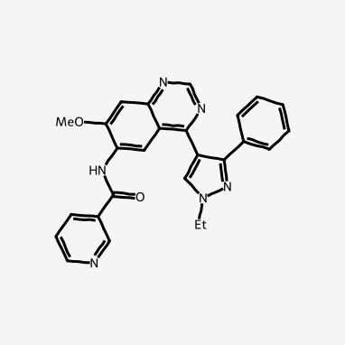 CCn1cc(-c2ncnc3cc(OC)c(NC(=O)c4cccnc4)cc23)c(-c2ccccc2)n1